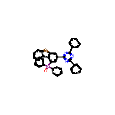 O=P(c1ccccc1)(c1ccccc1)c1cc(-c2nc(-c3ccccc3)nc(-c3ccccc3)n2)cc2sc3ccccc3c12